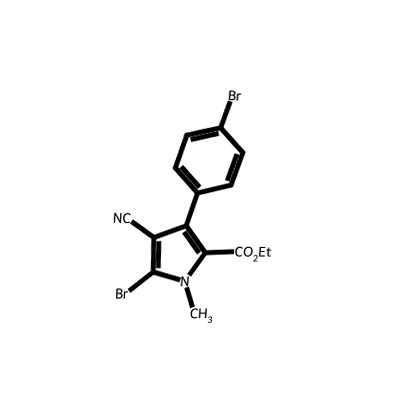 CCOC(=O)c1c(-c2ccc(Br)cc2)c(C#N)c(Br)n1C